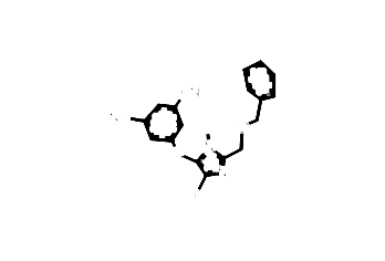 CC(C)c1nc(COCc2ccccc2)n(C)c1Sc1cc(C#N)cc(C#N)c1